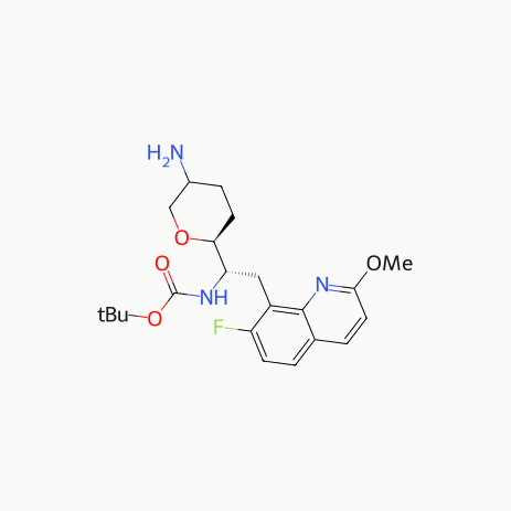 COc1ccc2ccc(F)c(C[C@H](NC(=O)OC(C)(C)C)[C@@H]3CCC(N)CO3)c2n1